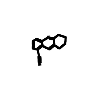 N#Cc1cccc2nc3c(cc12)CCCC3